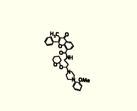 COc1ccccc1N1CCN(C(CCNC(=O)c2cccc3c(=O)c(C)c(-c4ccccc4)oc23)OC2CCCCO2)CC1